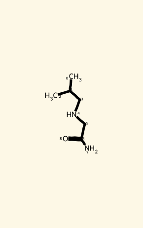 CC(C)CNCC(N)=O